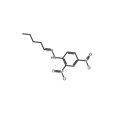 CCCC/C=N/Nc1ccc([N+](=O)[O-])cc1[N+](=O)[O-]